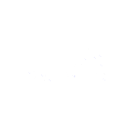 Cc1noc(C)c1NC(=O)N1CCC(CC(=O)Nc2ccc3cc2CCc2cncc(c2)Nc2ncc(Cl)c(n2)N3)CC1